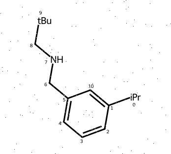 CC(C)c1cccc(CNCC(C)(C)C)c1